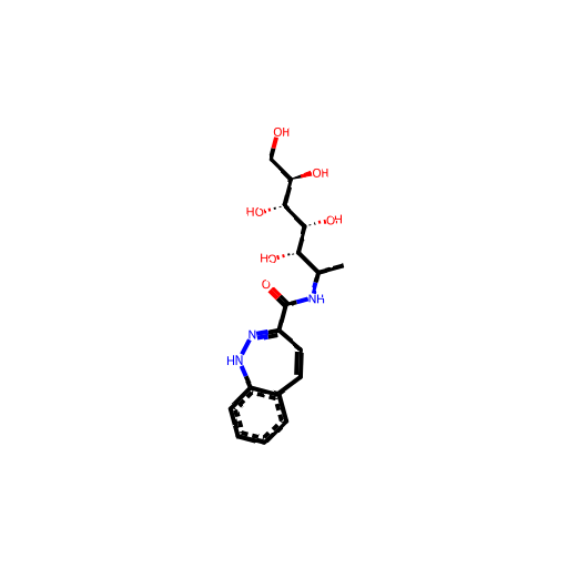 CC(NC(=O)C1=NNc2ccccc2C=C1)[C@H](O)[C@@H](O)[C@H](O)[C@H](O)CO